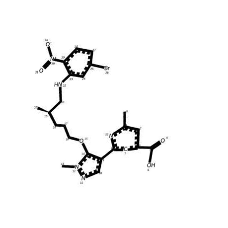 Cc1cc(C(=O)O)cc(-c2cnn(C)c2OCCC[C@@H](C)CNc2cc(Br)ccc2[N+](=O)[O-])n1